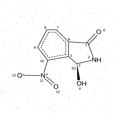 O=C1N[C@@H](O)c2c1cccc2[N+](=O)[O-]